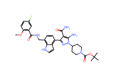 COc1ccc(F)cc1C(=O)NCc1ccc(-c2nn(C3CCN(C(=O)OC(C)(C)C)CC3)c(N)c2C(N)=O)c2cc[nH]c12